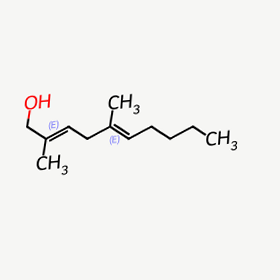 CCCC/C=C(\C)C/C=C(\C)CO